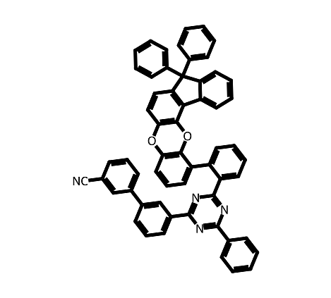 N#Cc1cccc(-c2cccc(-c3nc(-c4ccccc4)nc(-c4ccccc4-c4cccc5c4Oc4c(ccc6c4-c4ccccc4C6(c4ccccc4)c4ccccc4)O5)n3)c2)c1